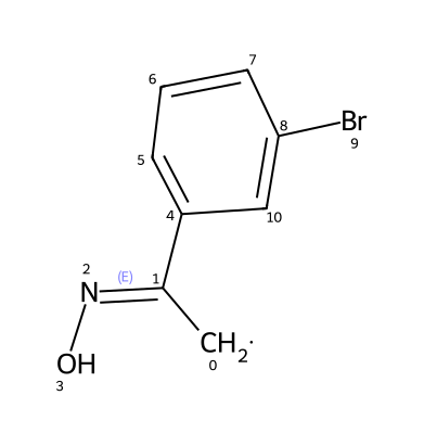 [CH2]/C(=N\O)c1cccc(Br)c1